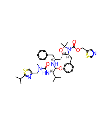 CC(C)c1nc(CN(C)C(=O)N[C@H](C(=O)N[C@@H](Cc2ccccc2)C[C@@H]2OC(C)(C)N(C(=O)OCc3cncs3)[C@H]2Cc2ccccc2)C(C)C)cs1